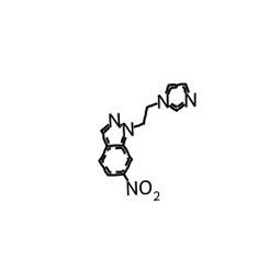 O=[N+]([O-])c1ccc2cnn(CCn3ccnc3)c2c1